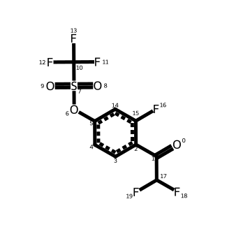 O=C(c1ccc(OS(=O)(=O)C(F)(F)F)cc1F)C(F)F